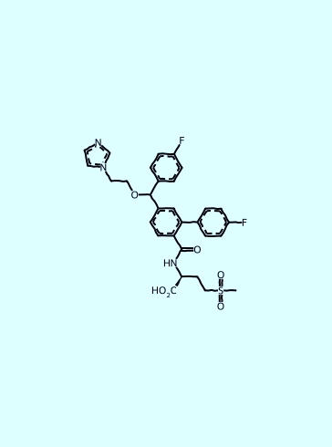 CS(=O)(=O)CC[C@H](NC(=O)c1ccc(C(OCCn2ccnc2)c2ccc(F)cc2)cc1-c1ccc(F)cc1)C(=O)O